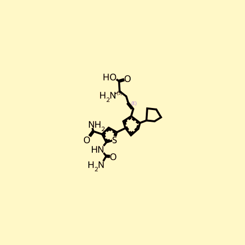 NC(=O)Nc1sc(-c2ccc(C3CCCC3)c(/C=C/C[C@H](N)C(=O)O)c2)cc1C(N)=O